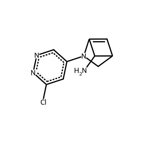 NC1C2=CC1CN2c1cnnc(Cl)c1